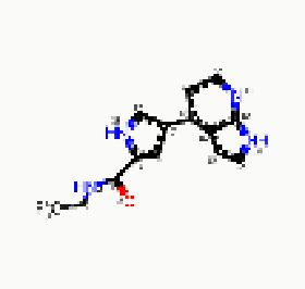 O=C(NCC(F)(F)F)c1cc(-c2ccnc3[nH]ccc23)c[nH]1